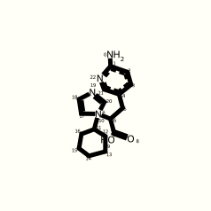 Nc1ccc(CC(C(=O)O)[N+]2(C3CCCCC3)C=CN=C2)cn1